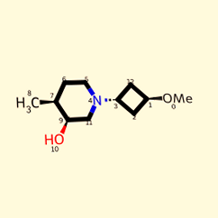 CO[C@H]1C[C@H](N2CC[C@H](C)[C@H](O)C2)C1